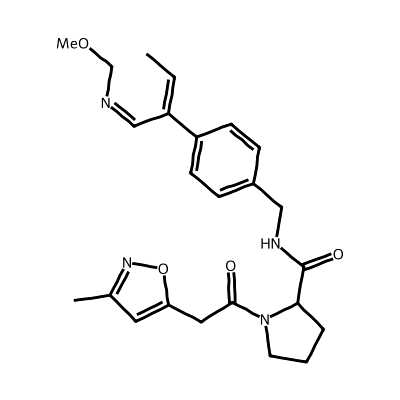 C/C=C(\C=N/COC)c1ccc(CNC(=O)C2CCCN2C(=O)Cc2cc(C)no2)cc1